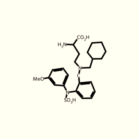 COc1cccc(N(c2ccccc2CN(CCC(N)C(=O)O)CC2CCCCC2)S(=O)(=O)O)c1